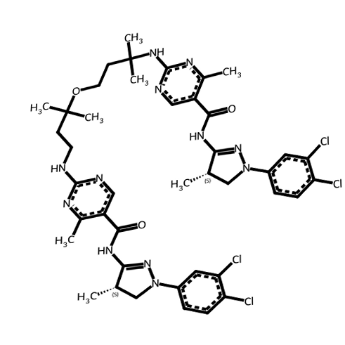 Cc1nc(NCCC(C)(C)OCCC(C)(C)Nc2ncc(C(=O)NC3=NN(c4ccc(Cl)c(Cl)c4)C[C@@H]3C)c(C)n2)ncc1C(=O)NC1=NN(c2ccc(Cl)c(Cl)c2)C[C@@H]1C